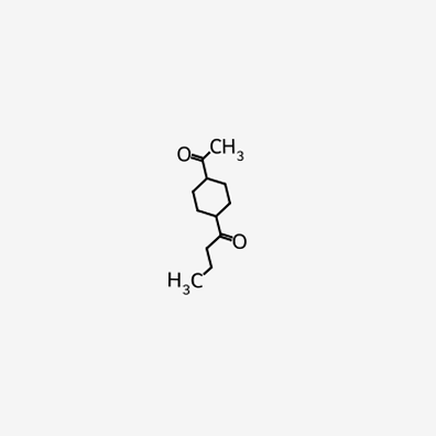 CCCC(=O)C1CCC(C(C)=O)CC1